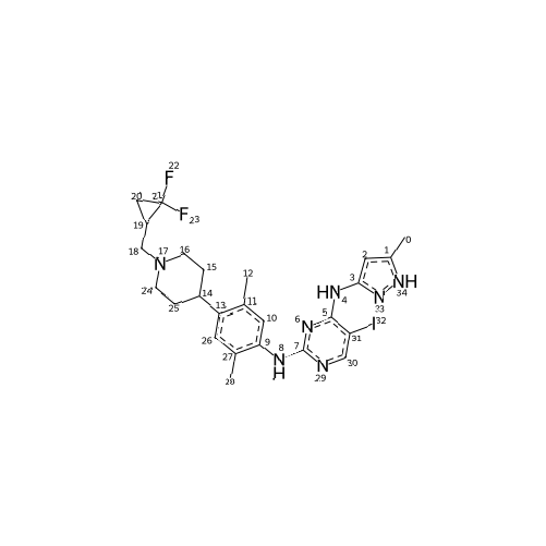 Cc1cc(Nc2nc(Nc3cc(C)c(C4CCN(CC5CC5(F)F)CC4)cc3C)ncc2I)n[nH]1